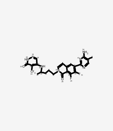 Cc1cnc(-c2cc3ccn(CCCC(C)Nc4cn[nH]c(=O)c4C(F)(F)F)c(=O)c3c(F)c2F)nc1N